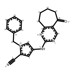 N#Cc1cc(Nc2ncc3c(n2)CCCCC3=O)cn1Cc1ccccc1